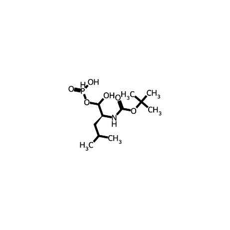 CC(C)C[C@H](NC(=O)OC(C)(C)C)C(O)O[PH](=O)O